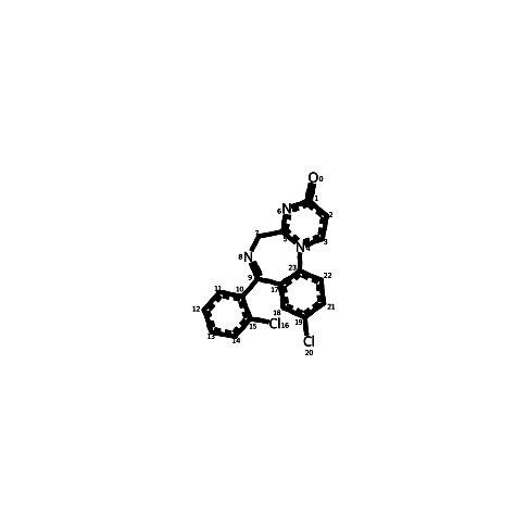 O=c1ccn2c(n1)CN=C(c1ccccc1Cl)c1cc(Cl)ccc1-2